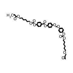 C=CC(=O)OCCCCCCOC(=O)Oc1ccc(C(=O)Oc2ccc(OCOc3ccc(OC(=O)OCCCCCCOCC4CO4)cc3)cc2)cc1